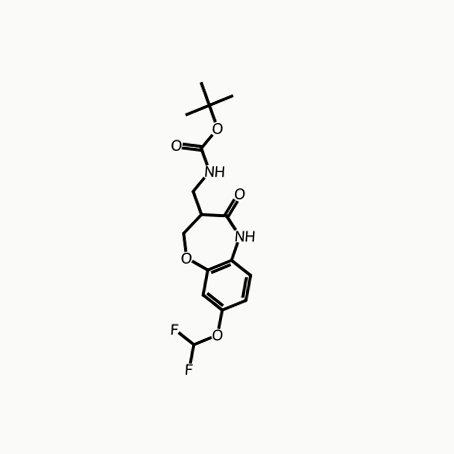 CC(C)(C)OC(=O)NCC1COc2cc(OC(F)F)ccc2NC1=O